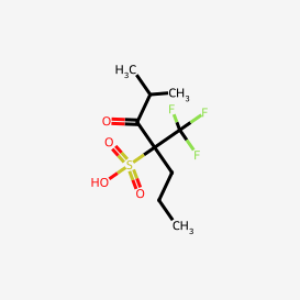 CCCC(C(=O)C(C)C)(C(F)(F)F)S(=O)(=O)O